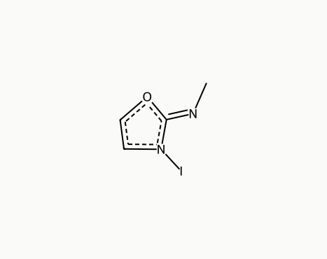 C/N=c1\occn1I